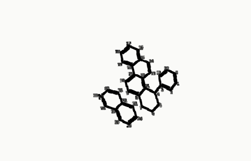 c1ccc(C2CCCc3ccc4c(ccc5ccccc54)c32)cc1.c1ccc2cnccc2c1